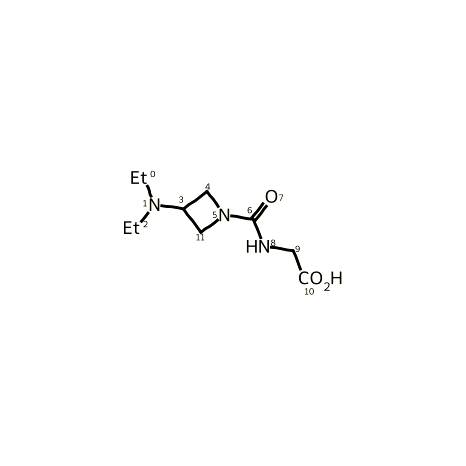 CCN(CC)C1CN(C(=O)NCC(=O)O)C1